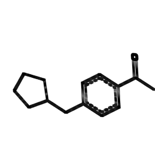 CC(=O)c1ccc(CC2CCCC2)cc1